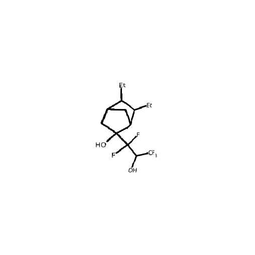 CCC1C2CC(C1CC)C(O)(C(F)(F)C(O)C(F)(F)F)C2